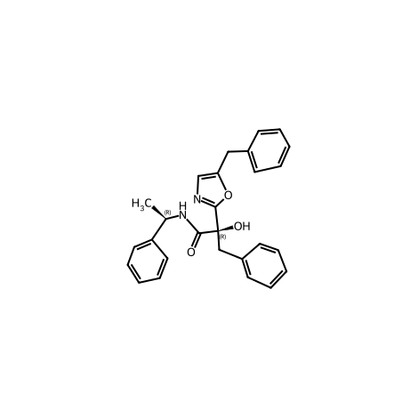 C[C@@H](NC(=O)[C@@](O)(Cc1ccccc1)c1ncc(Cc2ccccc2)o1)c1ccccc1